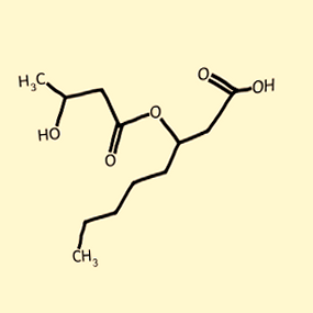 CCCCCC(CC(=O)O)OC(=O)CC(C)O